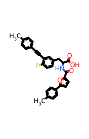 Cc1ccc(C#Cc2cc(CC(NC(=O)c3ccc(-c4ccc(C)cc4)o3)C(=O)O)ccc2F)cc1